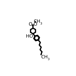 CCCCCCCc1ccc(C2(O)CCC(C(=O)OC)CC2)cc1